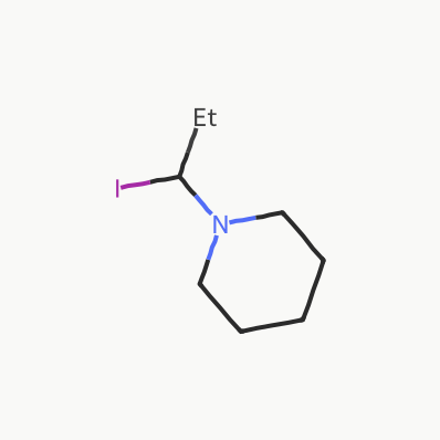 CCC(I)N1CCCCC1